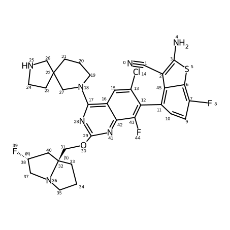 N#Cc1c(N)sc2c(F)ccc(-c3c(Cl)cc4c(N5CCCC6(CCNC6)C5)nc(OC[C@@]56CCCN5C[C@H](F)C6)nc4c3F)c12